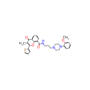 COc1ccccc1N1CCN(CCCNC(=O)c2cccc3c(=O)c(C)c(-c4cccs4)oc23)CC1